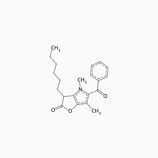 CCCCCCC1C(=O)Oc2c(C)c(C(=O)c3ccccc3)n(C)c21